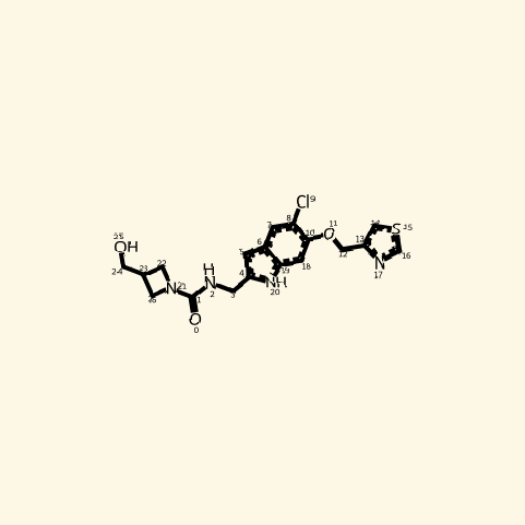 O=C(NCc1cc2cc(Cl)c(OCc3cscn3)cc2[nH]1)N1CC(CO)C1